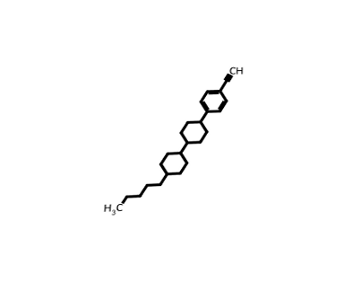 C#Cc1ccc(C2CCC(C3CCC(CCCCC)CC3)CC2)cc1